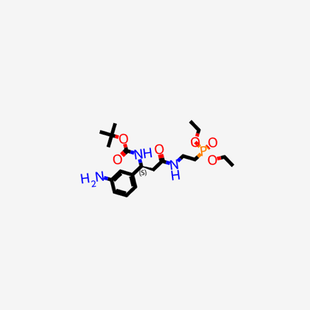 CCOP(=O)(CCNC(=O)C[C@H](NC(=O)OC(C)(C)C)c1cccc(N)c1)OCC